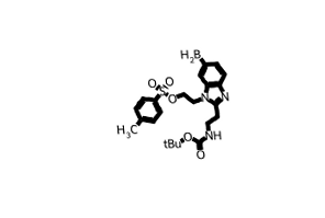 Bc1ccc2nc(CCNC(=O)OC(C)(C)C)n(CCOS(=O)(=O)c3ccc(C)cc3)c2c1